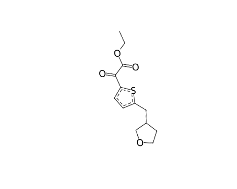 CCOC(=O)C(=O)c1ccc(CC2CCOC2)s1